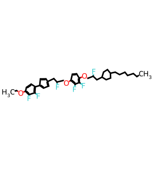 CCCCCCCC1CCC(CC(F)COc2ccc(OCC(F)Cc3ccc(-c4ccc(OCC)c(F)c4F)cc3)c(F)c2F)CC1